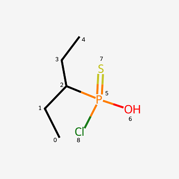 CCC(CC)P(O)(=S)Cl